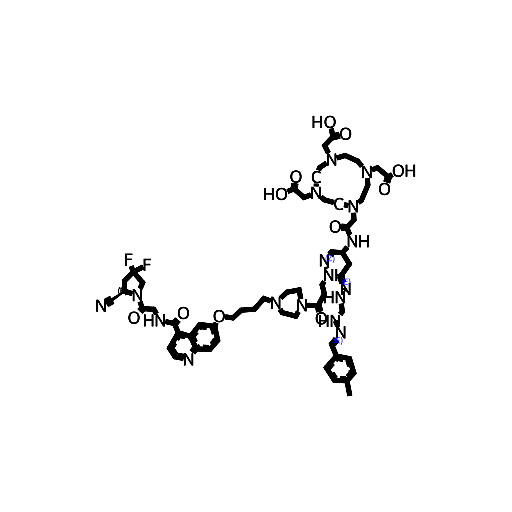 Cc1ccc(/C=N/NCN/N=C/CC(/C=N\NCCC(=O)N2CCN(CCCCOc3ccc4nccc(C(=O)NCC(=O)N5CC(F)(F)C[C@@H]5C#N)c4c3)CC2)NC(=O)CN2CCN(CC(=O)O)CCN(CC(=O)O)CCN(CC(=O)O)CC2)cc1